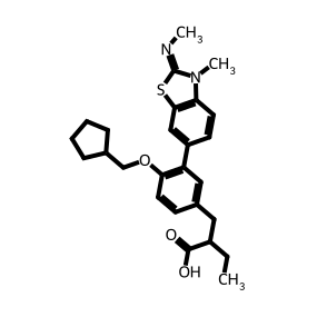 CCC(Cc1ccc(OCC2CCCC2)c(-c2ccc3c(c2)sc(=NC)n3C)c1)C(=O)O